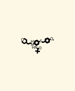 COc1ccc(CSc2ccc(NCCC3CCOCC3)c(NC(=O)C(C)(C)C)c2)cc1